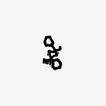 S=P1(c2ccccc2)S[PH](S)(c2ccccc2)S1